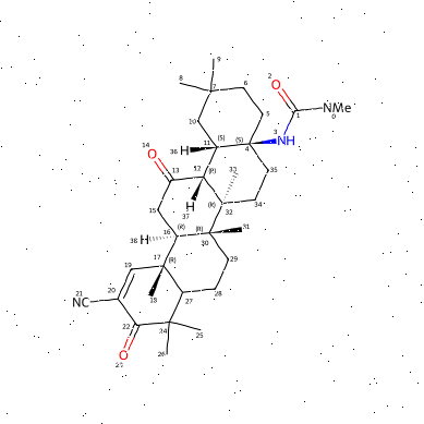 CNC(=O)N[C@]12CCC(C)(C)C[C@H]1[C@H]1C(=O)C[C@@H]3[C@@]4(C)C=C(C#N)C(=O)C(C)(C)C4CC[C@@]3(C)[C@]1(C)CC2